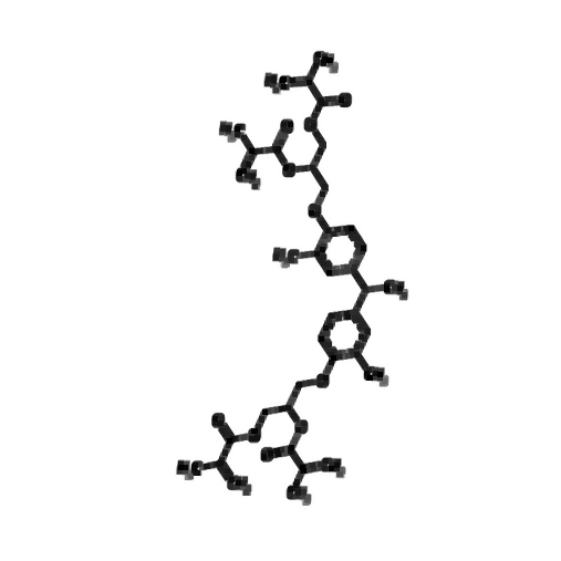 C=C(C)C(=O)OCC(COc1ccc(C(C)c2ccc(OCC(COC(=O)C(=C)C)OC(=O)C(=C)C)c(C)c2)cc1C)OC(=O)C(=C)C